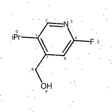 CC(C)c1cnc(F)cc1CO